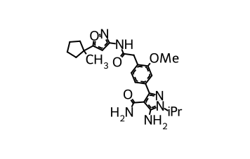 COc1cc(-c2nn(C(C)C)c(N)c2C(N)=O)ccc1CC(=O)Nc1cc(C2(C)CCCC2)on1